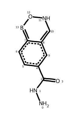 NNC(=O)c1ccc2c(c1)=CNOB=2